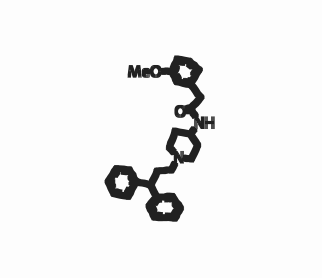 COc1cccc(CC(=O)NC2CCN(CCC(c3ccccc3)c3ccccc3)CC2)c1